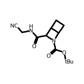 CC(C)(C)OC(=O)N1C2CCC2C1C(=O)NCC#N